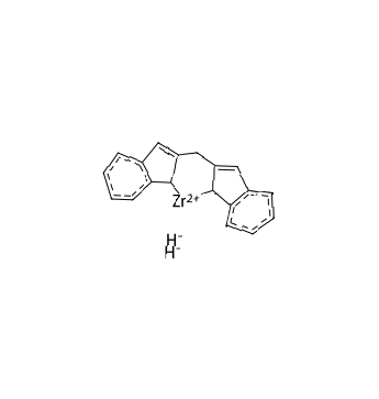 C1=C2CC3=Cc4ccccc4[CH]3[Zr+2][CH]2c2ccccc21.[H-].[H-]